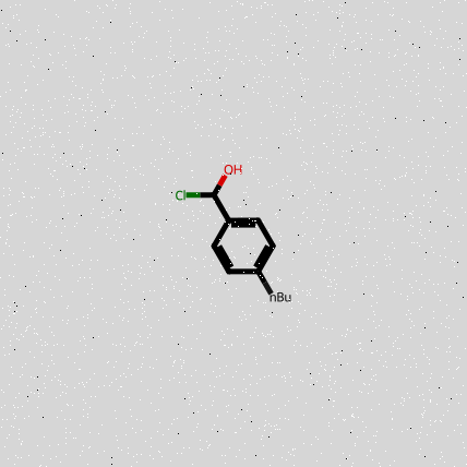 CCCCc1ccc(C(O)Cl)cc1